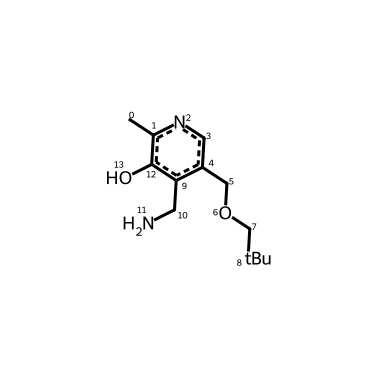 Cc1ncc(COCC(C)(C)C)c(CN)c1O